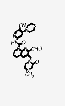 CN1CCN(Cc2cc3c(nc2C=O)N(C(=O)Nc2cc(N4CCSCC4)c(C#N)cn2)CCC3)C(=O)C1